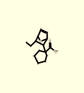 CCC1C2C=CC(O2)C1C1(C(=O)O)CCCCC1